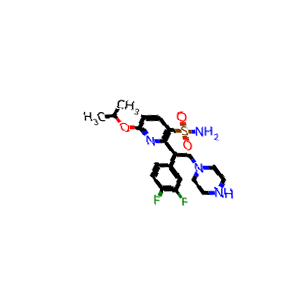 CC(C)Oc1ccc(S(N)(=O)=O)c(C(CN2CCNCC2)c2ccc(F)c(F)c2)n1